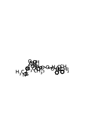 Cc1ncsc1-c1ccc(CNC(=O)[C@@H]2C[CH]CN2C(=O)[C@@H](NC(=O)COCCOCCOCCO[Si](c2ccccc2)(c2ccccc2)C(C)(C)C)C(C)(C)C)cc1